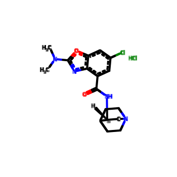 CN(C)c1nc2c(C(=O)N[C@@H]3CN4CCC3CC4)cc(Cl)cc2o1.Cl